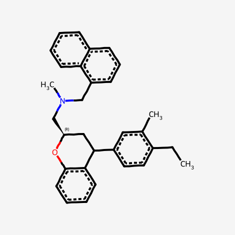 CCc1ccc(C2C[C@H](CN(C)Cc3cccc4ccccc34)Oc3ccccc32)cc1C